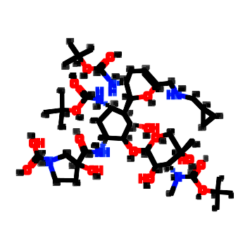 CN(C(=O)OC(C)(C)C)[C@@H]1[C@@H](O)[C@@H](O[C@@H]2[C@@H](O)[C@H](C3OC(CNCC4CC4)=CC[C@H]3NC(=O)OC(C)(C)C)[C@@H](NC(=O)OC(C)(C)C)C[C@H]2NC(=O)C2(O)CCN(C(=O)O)C2)OC[C@]1(C)O